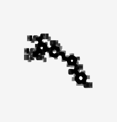 CC(C)c1cc(N2CCN(CCC3CC[C@H](NC(=O)C4CCC(O)CC4)C3)C[C@@H]2C)nc(C(C)(C)C)n1